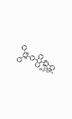 CC1(C)c2ccccc2-c2cnc(-c3c4ccccc4c(-c4ccc(-c5nc(-c6ccccc6)cc(-c6ccccc6)n5)cc4)c4ccccc34)nc21